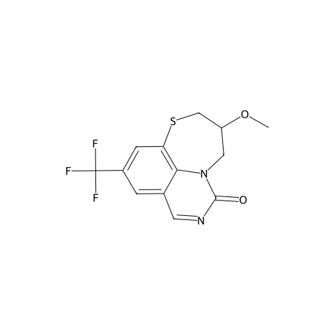 COC1CSc2cc(C(F)(F)F)cc3cnc(=O)n(c23)C1